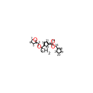 C=C(OCC1CCCO1)C1=CC=C(C(=O)OCC2CCCC2)C1